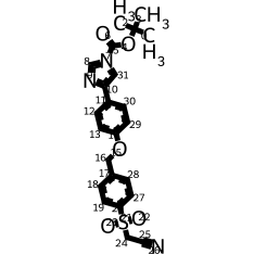 CC(C)(C)OC(=O)n1cnc(-c2ccc(OCc3ccc(S(=O)(=O)CC#N)cc3)cc2)c1